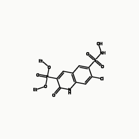 CCOP(=O)(OCC)c1cc2cc(S(=O)(=O)NO)c(Cl)cc2[nH]c1=O